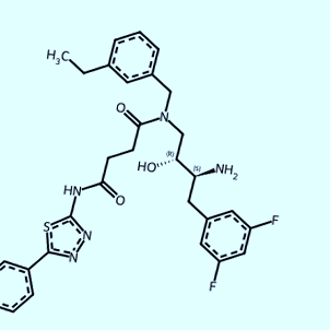 CCc1cccc(CN(C[C@@H](O)[C@@H](N)Cc2cc(F)cc(F)c2)C(=O)CCC(=O)Nc2nnc(-c3ccccc3)s2)c1